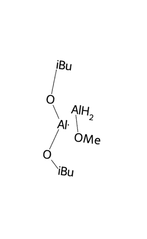 CCC(C)[O][Al][O]C(C)CC.C[O][AlH2]